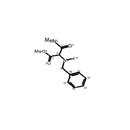 CNC(=O)C(C(=O)OC)N(I)Cc1ccccc1